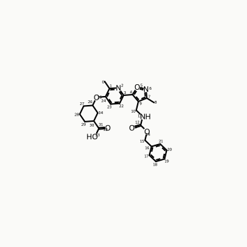 Cc1nc(-c2onc(C)c2CNC(=O)OCc2ccccc2)ccc1OC1CCCC(C(=O)O)C1